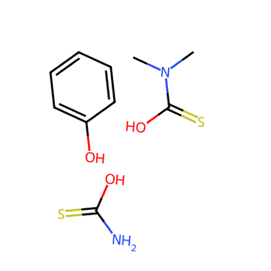 CN(C)C(O)=S.NC(O)=S.Oc1ccccc1